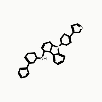 C1=CC(NC2CCC=C(c3ccccc3)C2)C2c3ccccc3N(C3CC=C(C4=CC=NC4)CC3)C2C1